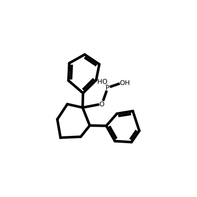 OP(O)OC1(c2ccccc2)CCCCC1c1ccccc1